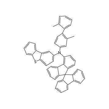 Cc1ccccc1-c1ccc(N(c2ccc3sc4ccccc4c3c2)c2cccc3c2-c2ccccc2C32c3ccccc3-c3ccccc32)cc1C